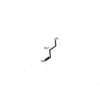 CCCCCC=N.[Ru+3]